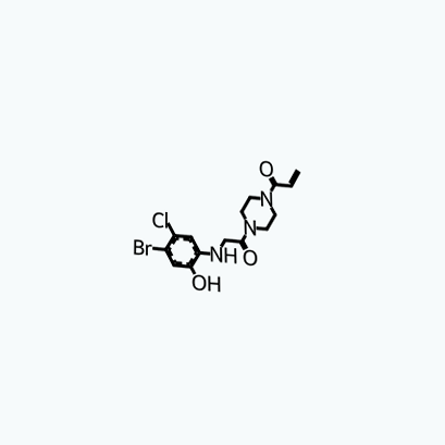 C=CC(=O)N1CCN(C(=O)CNc2cc(Cl)c(Br)cc2O)CC1